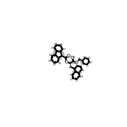 O=C(O[C@H](Cc1cccc2ccccc12)C(=O)OCc1ccccc1)C1c2ccccc2-c2ccccc21